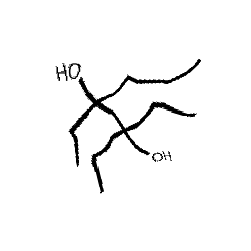 CCCC(O)(CC)C(O)(CC)CC